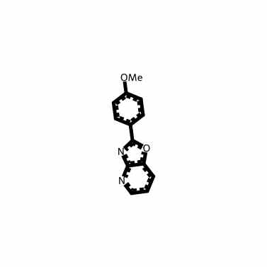 COc1ccc(-c2nc3ncccc3o2)cc1